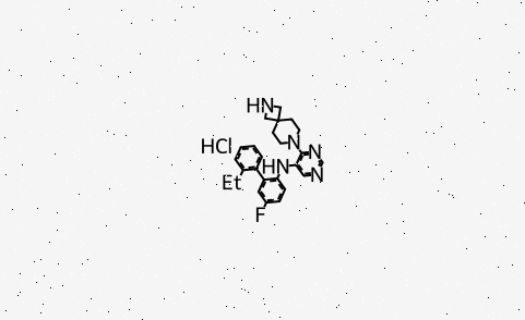 CCc1ccccc1-c1cc(F)ccc1Nc1cncnc1N1CCC2(CC1)CNC2.Cl